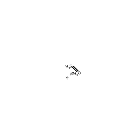 O=[SiH2].[AlH3].[Y]